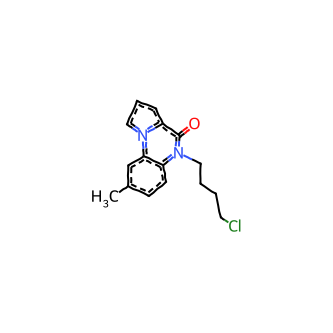 Cc1ccc2c(c1)n1cccc1c(=O)n2CCCCCl